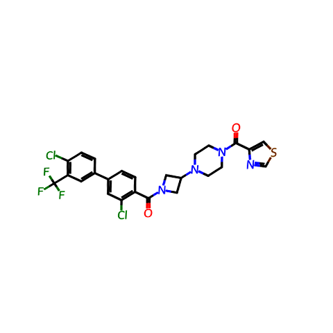 O=C(c1cscn1)N1CCN(C2CN(C(=O)c3ccc(-c4ccc(Cl)c(C(F)(F)F)c4)cc3Cl)C2)CC1